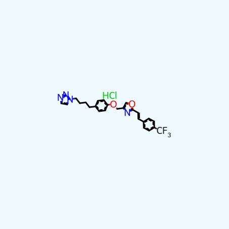 Cl.FC(F)(F)c1ccc(/C=C/c2nc(COc3ccc(CCCCn4ccnn4)cc3)co2)cc1